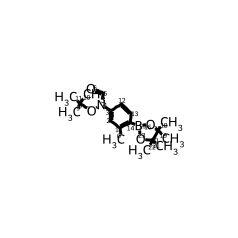 Cc1cc(N(C=O)OC(C)(C)C)ccc1B1OC(C)(C)C(C)(C)O1